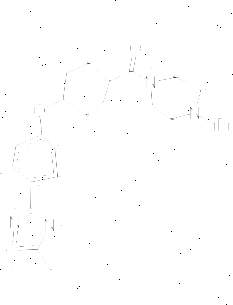 Cc1nc(-c2ccc(OC3CCC(C(=O)N4CCN(C(C)C)CC4)CC3)cc2)no1